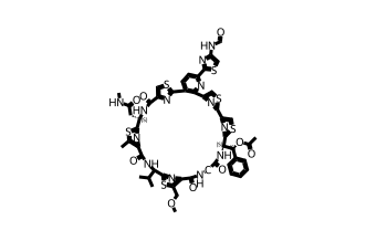 CNC(=O)C[C@@H]1NC(=O)c2csc(n2)-c2ccc(-c3nc(NC=O)cs3)nc2-c2csc(n2)-c2csc(n2)[C@H]([C@@H](OC(C)=O)c2ccccc2)NC(=O)CNC(=O)c2nc(sc2COC)C(C(C)C)NC(=O)c2nc1sc2C